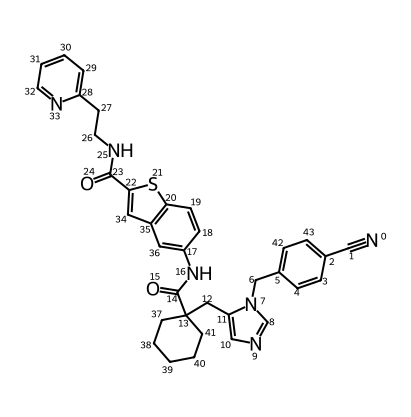 N#Cc1ccc(Cn2cncc2CC2(C(=O)Nc3ccc4sc(C(=O)NCCc5ccccn5)cc4c3)CCCCC2)cc1